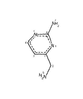 NCc1c[c]nc(N)n1